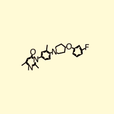 Cc1cc(=O)n(-c2ccc(N3CCC(Oc4cccc(F)c4)CC3)c(C)c2)c(C)n1